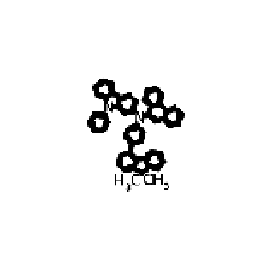 CC1(C)c2ccccc2-c2c(-c3ccc(N(c4ccc5c6ccccc6n(-c6ccccc6)c5c4)c4cc5ccccc5c5ccccc45)cc3)cccc21